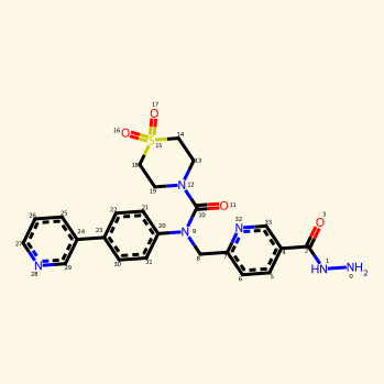 NNC(=O)c1ccc(CN(C(=O)N2CCS(=O)(=O)CC2)c2ccc(-c3cccnc3)cc2)nc1